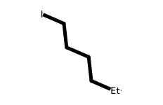 C[CH]CCCCI